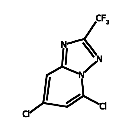 FC(F)(F)c1nc2cc(Cl)cc(Cl)n2n1